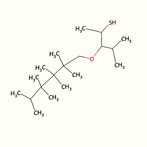 CC(C)C(OCC(C)(C)C(C)(C)C(C)(C)C(C)C)C(C)S